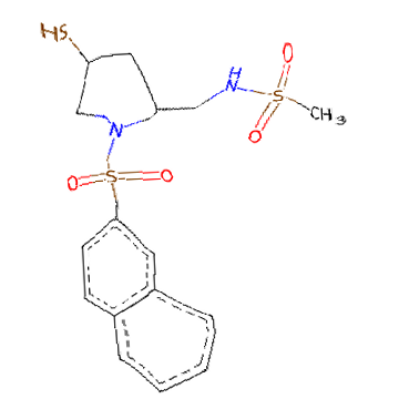 CS(=O)(=O)NCC1CC(S)CN1S(=O)(=O)c1ccc2ccccc2c1